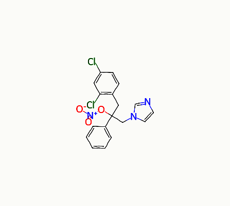 O=[N+]([O-])OC(Cc1ccc(Cl)cc1Cl)(Cn1ccnc1)c1ccccc1